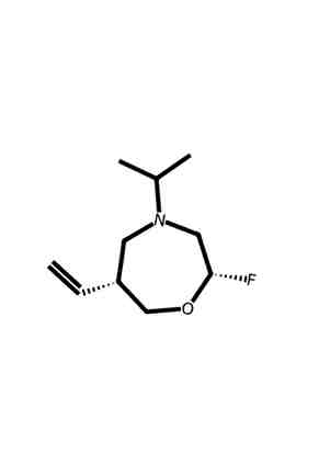 C=C[C@H]1CO[C@@H](F)CN(C(C)C)C1